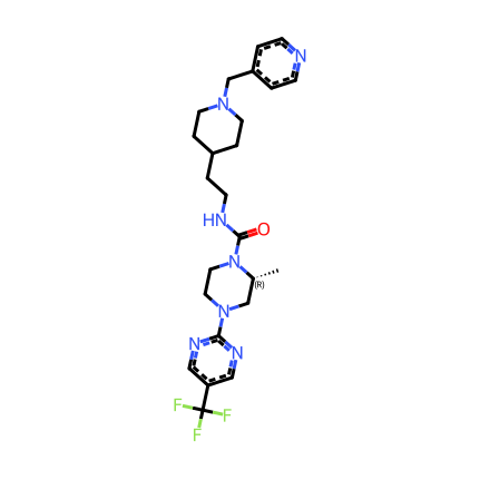 C[C@@H]1CN(c2ncc(C(F)(F)F)cn2)CCN1C(=O)NCCC1CCN(Cc2ccncc2)CC1